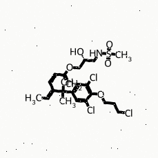 C=C(/C=C\C(=C/C)C(C)(C)c1cc(Cl)c(OCCCCl)c(Cl)c1)OC[C@H](O)CNS(C)(=O)=O